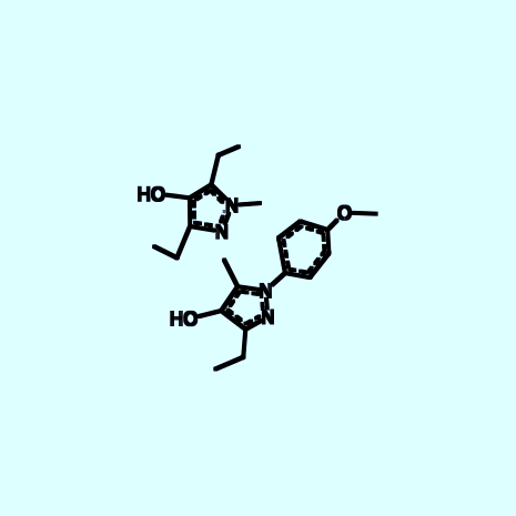 CCc1nn(-c2ccc(OC)cc2)c(C)c1O.CCc1nn(C)c(CC)c1O